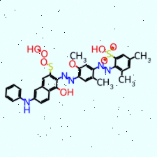 COc1cc(N=Nc2c(C)cc(C)cc2S(=O)(=O)O)c(C)cc1N=Nc1c(SOOO)cc2cc(Nc3ccccc3)ccc2c1O